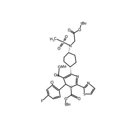 COC(=O)C1=C([C@H]2CC[C@@H](N(CC(=O)OC(C)(C)C)S(C)(=O)=O)CC2)N=C(c2nccs2)N(C(=O)OC(C)(C)C)C1c1ccc(F)cc1Cl